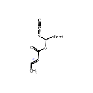 C/C=C/C(=O)OC(CCCCC)N=C=O